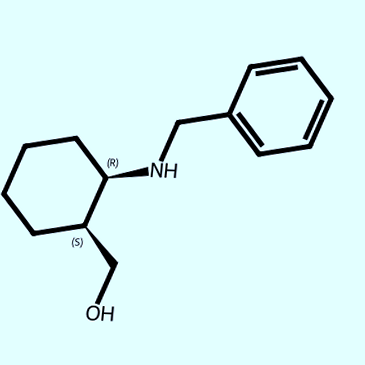 OC[C@H]1CCCC[C@H]1NCc1ccccc1